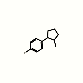 CC1CCCC1c1ccc(F)cc1